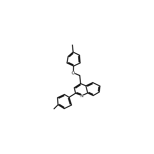 Cc1ccc(OCc2cc(-c3ccc(C)cc3)nc3ccccc23)cc1